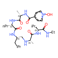 CCC[C@H](NC(=O)[C@H](C)NC(=O)c1cc[n+](O)cc1)C(=O)N[C@H](CN[C@@H](C)C(=O)N[C@H](C(=O)NCC)C(C)C)CC(C)C